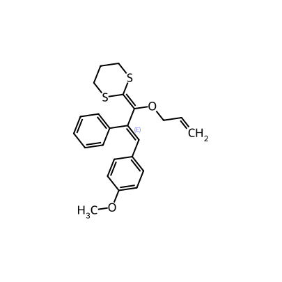 C=CCOC(=C1SCCCS1)/C(=C/c1ccc(OC)cc1)c1ccccc1